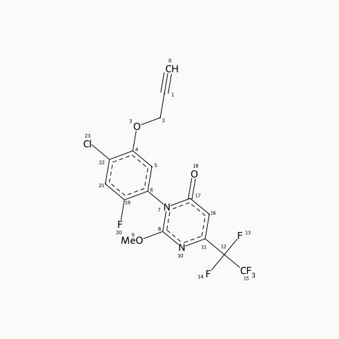 C#CCOc1cc(-n2c(OC)nc(C(F)(F)C(F)(F)F)cc2=O)c(F)cc1Cl